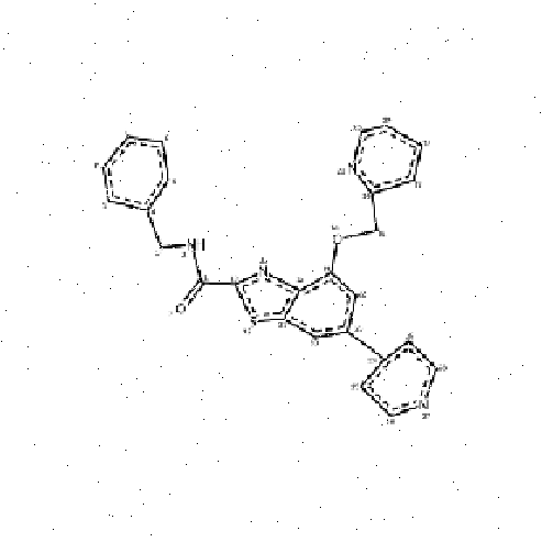 O=C(NCc1ccccc1)c1nc2c(OCc3ccccn3)cc(-c3ccncc3)cc2s1